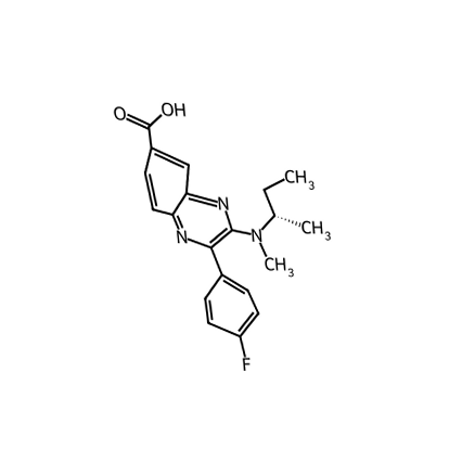 CC[C@H](C)N(C)c1nc2cc(C(=O)O)ccc2nc1-c1ccc(F)cc1